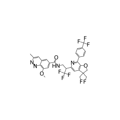 COc1cc(C(=O)NCC(c2cc3c(c(-c4ccc(C(F)(F)F)cc4)n2)OCC3(CF)CF)C(F)(F)F)cc2cc(C)nnc12